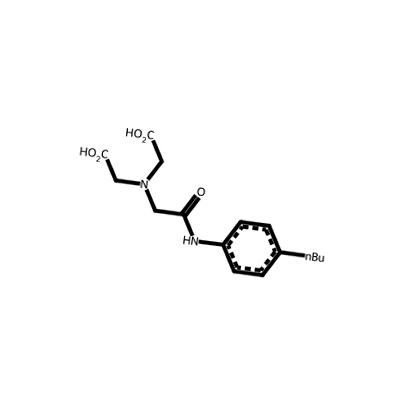 CCCCc1ccc(NC(=O)CN(CC(=O)O)CC(=O)O)cc1